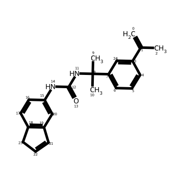 C=C(C)c1cccc(C(C)(C)NC(=O)Nc2ccc3c(c2)C=CC3)c1